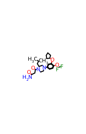 CC(C)CC1CN(c2ccc(OC(F)F)c(OC3CCCC3)c2)CCN1C(=O)CC(N)=O